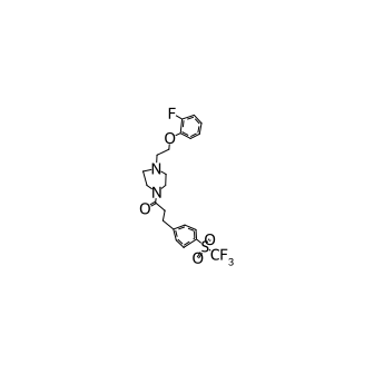 O=C(CCc1ccc(S(=O)(=O)C(F)(F)F)cc1)N1CCN(CCOc2ccccc2F)CC1